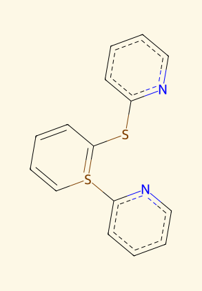 C1=CC(Sc2ccccn2)=S(c2ccccn2)C=C1